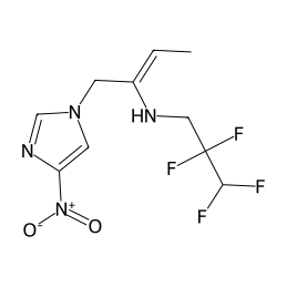 CC=C(Cn1cnc([N+](=O)[O-])c1)NCC(F)(F)C(F)F